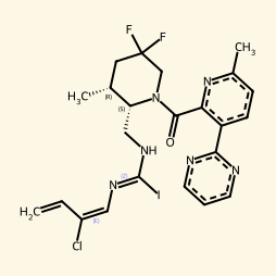 C=C/C(Cl)=C\N=C(/I)NC[C@@H]1[C@H](C)CC(F)(F)CN1C(=O)c1nc(C)ccc1-c1ncccn1